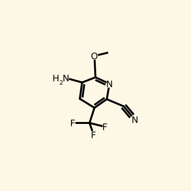 COc1nc(C#N)c(C(F)(F)F)cc1N